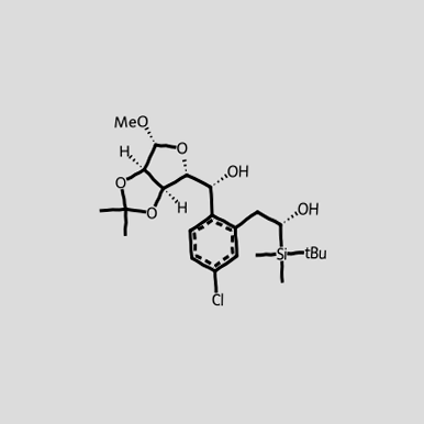 CO[C@@H]1O[C@H]([C@H](O)c2ccc(Cl)cc2C[C@H](O)[Si](C)(C)C(C)(C)C)[C@H]2OC(C)(C)O[C@@H]12